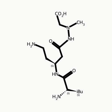 CC[C@H](C)[C@H](N)C(=O)N[C@@H](CCN)CC(=O)NN(C)CC(=O)O